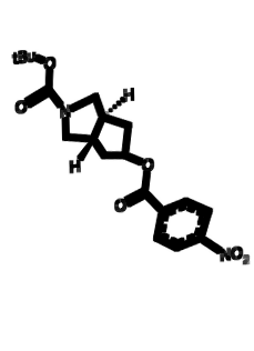 CC(C)(C)OC(=O)N1C[C@H]2CC(OC(=O)c3ccc([N+](=O)[O-])cc3)C[C@@H]2C1